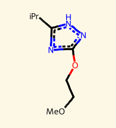 COCCOc1n[nH]c(C(C)C)n1